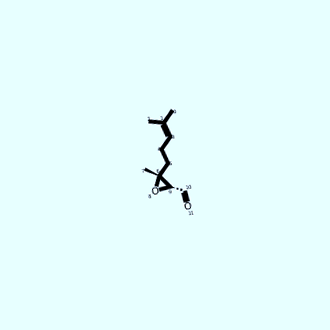 CC(C)=CCC[C@@]1(C)O[C@H]1C=O